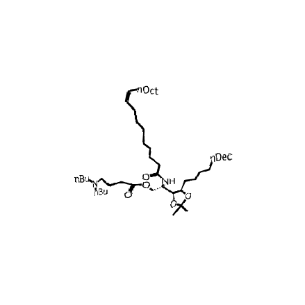 CCCCCCCC/C=C\CCCCCCCC(=O)N[C@@H](COC(=O)CCCN(CCCC)CCCC)[C@@H]1OC(C)(C)O[C@@H]1CCCCCCCCCCCCCC